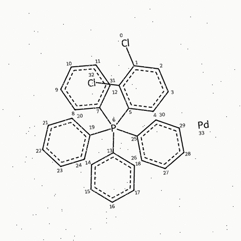 Clc1cccc(P(c2ccccc2)(c2ccccc2)(c2ccccc2)c2ccccc2)c1Cl.[Pd]